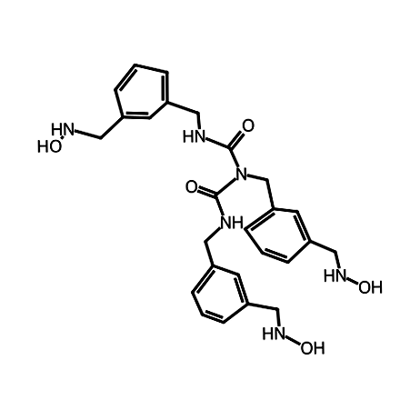 O=C(NCc1cccc(CNO)c1)N(Cc1cccc(CNO)c1)C(=O)NCc1cccc(CNO)c1